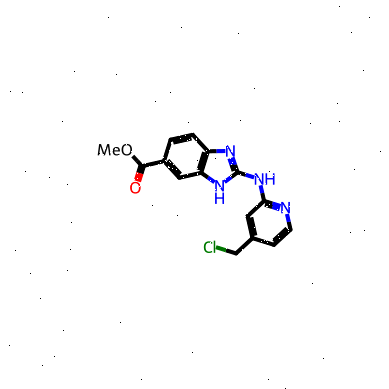 COC(=O)c1ccc2nc(Nc3cc(CCl)ccn3)[nH]c2c1